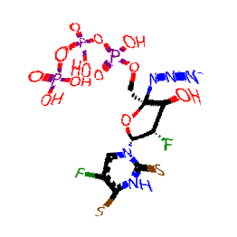 [N-]=[N+]=N[C@]1(COP(=O)(O)OP(=O)(O)OP(=O)(O)O)O[C@@H](n2cc(F)c(=S)[nH]c2=S)[C@@H](F)C1O